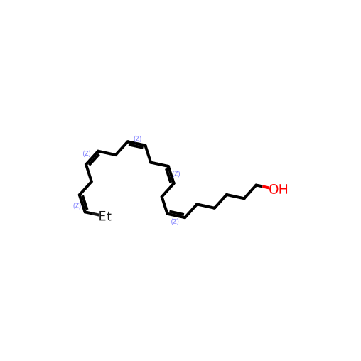 CC/C=C\C/C=C\C/C=C\C/C=C\C/C=C\CCCCCO